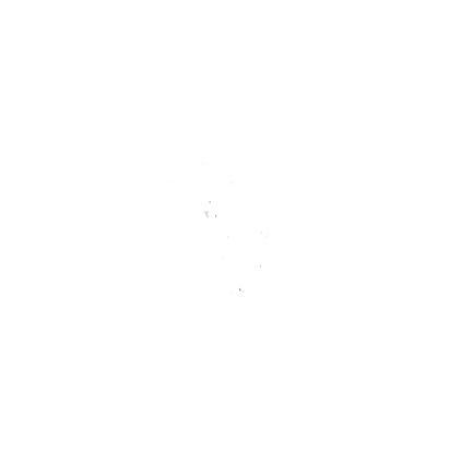 C[C@H](N[C@H]1CCC[C@@H](c2ccccc2)NC1=O)C(N)=O